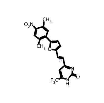 Cc1cc([N+](=O)[O-])c(C)cc1-c1ccc(/C=C/c2cc(C(F)(F)F)[nH]c(=O)n2)o1